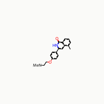 CNCCOc1ccc(-c2cc3c(C)cccc3c(=O)[nH]2)cc1